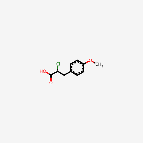 COc1ccc(C[C@H](Cl)C(=O)O)cc1